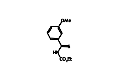 CCOC(=O)NC(=S)c1cccc(OC)c1